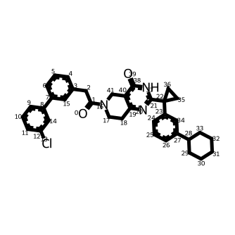 O=C(Cc1cccc(-c2cccc(Cl)c2)c1)N1CCc2nc(C3(c4cccc(C5CCCCC5)c4)CC3)[nH]c(=O)c2C1